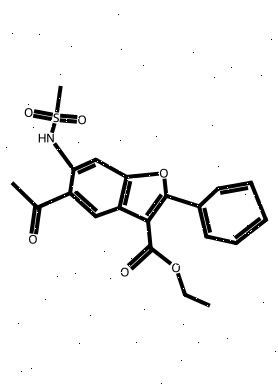 CCOC(=O)c1c(-c2ccccc2)oc2cc(NS(C)(=O)=O)c(C(C)=O)cc12